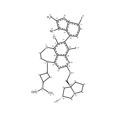 CN(C=O)C1CC(N2CCOc3c(Cl)c(-c4ccc(F)c5sc(N)c(C#N)c45)c(F)c4nc(OC[C@@]56CCCN5C[C@H](F)C6)nc2c34)C1